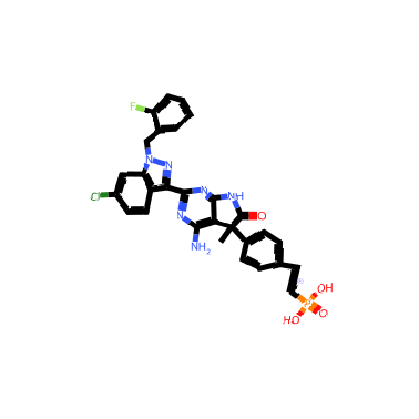 CC1(c2ccc(/C=C/P(=O)(O)O)cc2)C(=O)Nc2nc(-c3nn(Cc4ccccc4F)c4cc(Cl)ccc34)nc(N)c21